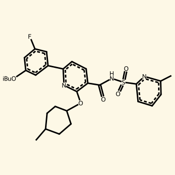 Cc1cccc(S(=O)(=O)NC(=O)c2ccc(-c3cc(F)cc(OCC(C)C)c3)nc2OC2CCC(C)CC2)n1